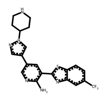 Nc1ncc(-c2cnn(C3CCNCC3)c2)cc1-c1nc2cc(C(F)(F)F)ccc2s1